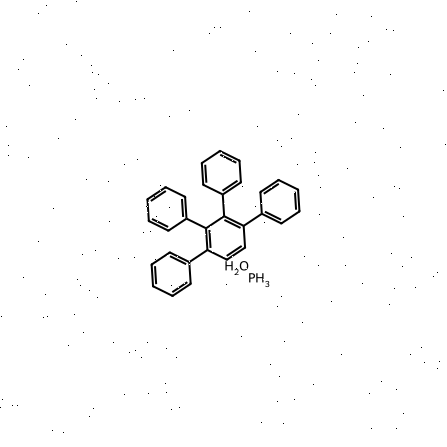 O.P.c1ccc(-c2ccc(-c3ccccc3)c(-c3ccccc3)c2-c2ccccc2)cc1